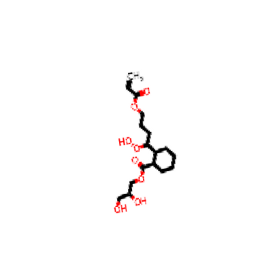 C=CC(=O)OCCCC(OO)C1CCCCC1C(=O)OCC(O)CO